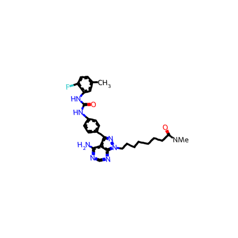 CNC(=O)CCCCCCCn1nc(-c2ccc(NC(=O)Nc3cc(C)ccc3F)cc2)c2c(N)ncnc21